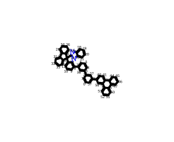 c1cc(-c2cccc(-c3cccc4c3-n3c(nc5ccccc53)C43c4ccccc4-c4ccccc43)c2)cc(-c2ccc3c4ccccc4c4ccccc4c3c2)c1